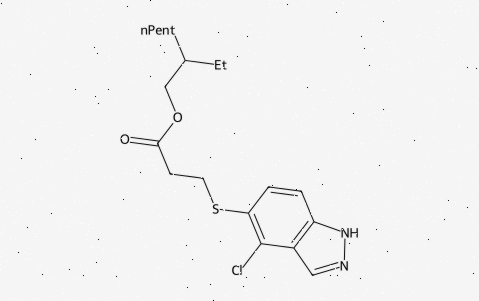 CCCCCC(CC)COC(=O)CCSc1ccc2[nH]ncc2c1Cl